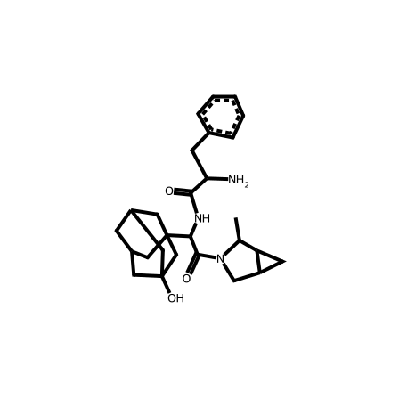 CC1C2CC2CN1C(=O)C(NC(=O)C(N)Cc1ccccc1)C12CC3CC(CC(O)(C3)C1)C2